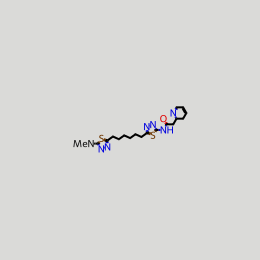 CNc1nnc(CCCCCCc2nnc(NC(=O)CC3CC=CC=N3)s2)s1